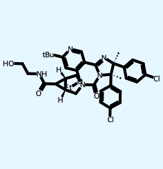 CCOc1cc(C(C)(C)C)ncc1C1=N[C@@](C)(c2ccc(Cl)cc2)[C@@](C)(c2ccc(Cl)cc2)N1C(=O)N1C[C@@H]2C(C(=O)NCCO)[C@@H]2C1